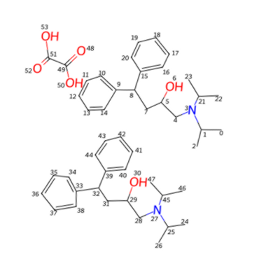 CC(C)N(CC(O)CC(c1ccccc1)c1ccccc1)C(C)C.CC(C)N(CC(O)CC(c1ccccc1)c1ccccc1)C(C)C.O=C(O)C(=O)O